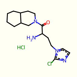 Cl.NC(CCn1ccnc1Cl)C(=O)N1CCC2CCCCC2C1